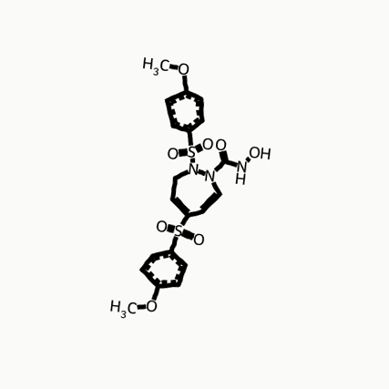 COc1ccc(S(=O)(=O)C2=CCN(S(=O)(=O)c3ccc(OC)cc3)N(C(=O)NO)C=C2)cc1